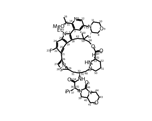 CCn1c(-c2cc(N3CCOCC3)cnc2[C@H](C)OC)c2c3cc(c(F)cc31)-c1csc(n1)C[C@H](NC(=O)[C@H](C(C)C)N1CC3COCCN3C1=O)CN1CCC[C@H](N1)C(=O)OCC(C)(C)C2